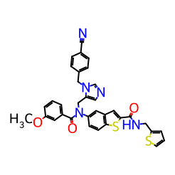 COc1cccc(C(=O)N(Cc2cncn2Cc2ccc(C#N)cc2)c2ccc3sc(C(=O)NCc4cccs4)cc3c2)c1